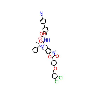 CCC(c1ccccc1)N1Cc2cc3c(cc2CC1C(=O)N[C@@H](Cc1ccc(-c2ccc(C#N)cc2)cc1)C(=O)O)N(C)C(=O)C(c1ccc(OCc2ccc(Cl)c(Cl)c2)cc1)O3